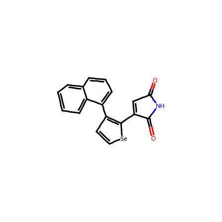 O=C1C=C(c2[se]ccc2-c2cccc3ccccc23)C(=O)N1